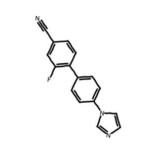 N#Cc1ccc(-c2ccc(-n3ccnc3)cc2)c(F)c1